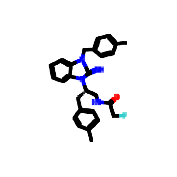 Cc1ccc(C[C@@H](CNC(=O)CF)n2c(=N)n(Cc3ccc(C)cc3)c3ccccc32)cc1